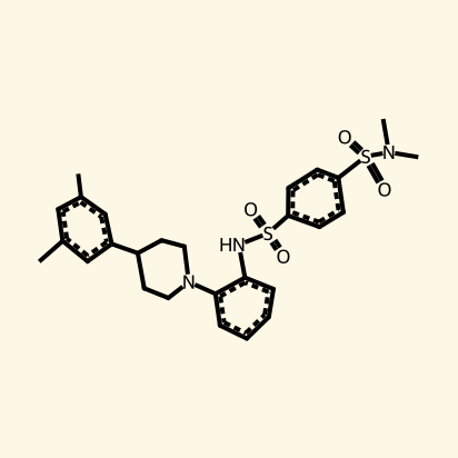 Cc1cc(C)cc(C2CCN(c3ccccc3NS(=O)(=O)c3ccc(S(=O)(=O)N(C)C)cc3)CC2)c1